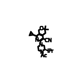 CC(=O)N1CCN(c2nc(C3CC3)c3c(c2C#N)CC(C)(C)OC3)C[C@H]1C(C)C